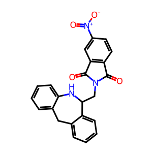 O=C1c2ccc([N+](=O)[O-])cc2C(=O)N1CC1Nc2ccccc2Cc2ccccc21